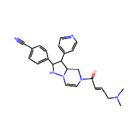 CN(C)C/C=C/C(=O)N1C=CN2NC(c3ccc(C#N)cc3)C(c3ccncc3)C2C1